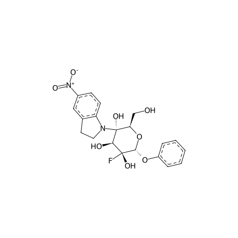 O=[N+]([O-])c1ccc2c(c1)CCN2[C@]1(O)[C@H](O)[C@@](O)(F)[C@@H](Oc2ccccc2)O[C@@H]1CO